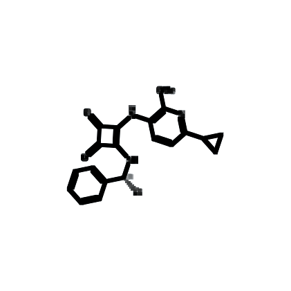 CC[C@@H](Nc1c(Nc2ccc(C3CC3)nc2OC)c(=O)c1=O)c1ccccc1